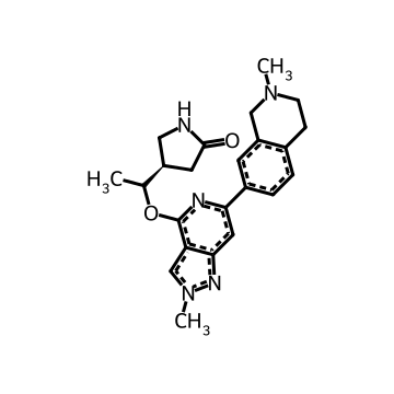 CC(Oc1nc(-c2ccc3c(c2)CN(C)CC3)cc2nn(C)cc12)[C@H]1CNC(=O)C1